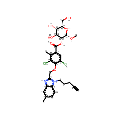 C#CCCCn1c(COc2c(Cl)cc(C(=O)O[C@H]3[C@@H](OC)O[C@H](CO)[C@@H](O)[C@@H]3O)c(C)c2Cl)nc2cc(C)ccc21